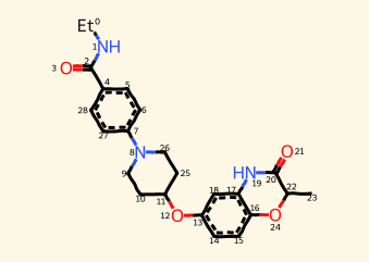 CCNC(=O)c1ccc(N2CCC(Oc3ccc4c(c3)NC(=O)C(C)O4)CC2)cc1